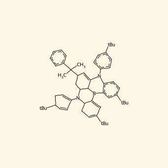 CC(C)(C)C1=CCC2C(=C1)B1c3cc(C(C)(C)C)ccc3N(c3ccc(C(C)(C)C)cc3)C3=CC(C(C)(C)c4ccccc4)CC(C13)N2C1=CCC(C(C)(C)C)C=C1